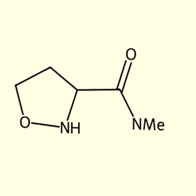 CNC(=O)C1CCON1